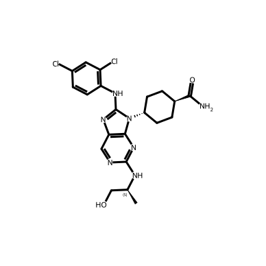 C[C@@H](CO)Nc1ncc2nc(Nc3ccc(Cl)cc3Cl)n([C@H]3CC[C@H](C(N)=O)CC3)c2n1